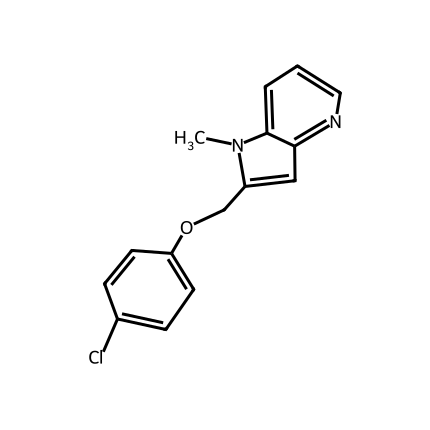 Cn1c(COc2ccc(Cl)cc2)cc2ncccc21